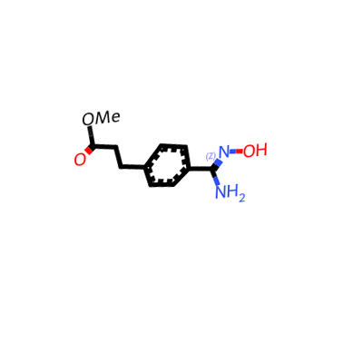 COC(=O)CCc1ccc(/C(N)=N/O)cc1